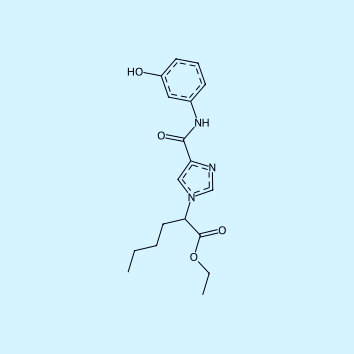 CCCCC(C(=O)OCC)n1cnc(C(=O)Nc2cccc(O)c2)c1